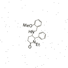 CCN1C(=O)CCC(NCc2ccccc2OC)C1c1ccccc1